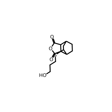 O=C1OC(=O)C2C3CCC(CC3SCCCO)C12